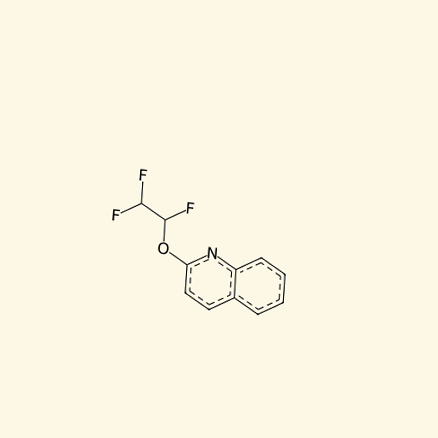 FC(F)C(F)Oc1ccc2ccccc2n1